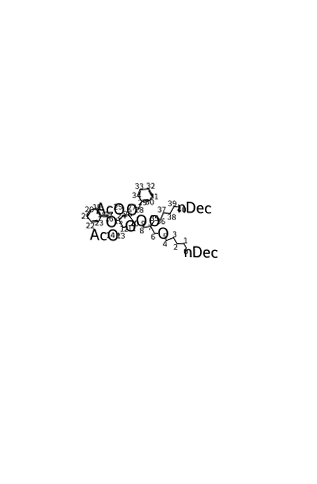 CCCCCCCCCCCCCCOCC(CO[C@@H]1O[C@H](COC(C)=O)[C@@H](OCc2ccccc2)[C@H](OC(C)=O)[C@@H]1OCc1ccccc1)OCCCCCCCCCCCCCC